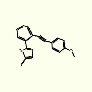 COc1ccc(C#Cc2ccccc2-c2ccc(I)[te]2)cc1